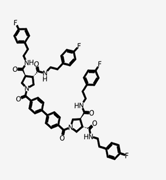 O=C(NCCc1ccc(F)cc1)[C@@H]1CN(C(=O)c2ccc(-c3ccc(C(=O)N4C[C@@H](C(=O)NCCc5ccc(F)cc5)[C@H](C(=O)NCCc5ccc(F)cc5)C4)cc3)cc2)C[C@H]1C(=O)NCCc1ccc(F)cc1